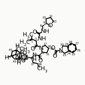 C=C(C)[C@H](NC(=O)NC[C@H]1CCCO1)C(=O)N1C[C@H](OC(=O)N2Cc3ccccc3C2)C[C@H]1C(=O)N[C@@H](CCC)B1O[C@@H]2C[C@@H]3C[C@@H](C3(C)C)[C@]2(C)O1